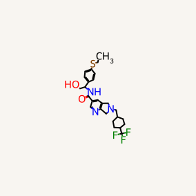 CCSc1ccc(C(CO)NC(=O)c2cnc3c(c2)CN(CC2CCC(C(F)(F)F)CC2)C3)cc1